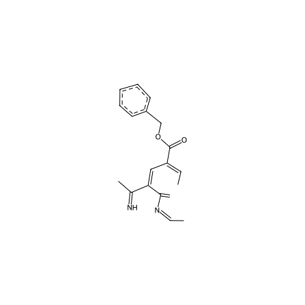 C=C(/N=C\C)/C(=C\C(=C/C)C(=O)OCc1ccccc1)C(C)=N